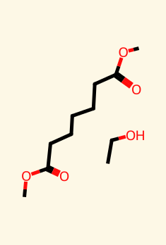 CCO.COC(=O)CCCCCC(=O)OC